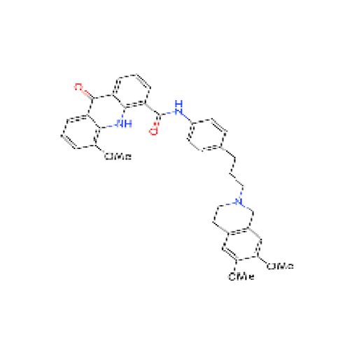 COc1cc2c(cc1OC)CN(CCCc1ccc(NC(=O)c3cccc4c(=O)c5cccc(OC)c5[nH]c34)cc1)CC2